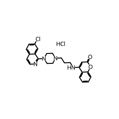 Cl.O=c1cc(NCCCN2CCN(c3nccc4ccc(Cl)cc34)CC2)c2ccccc2o1